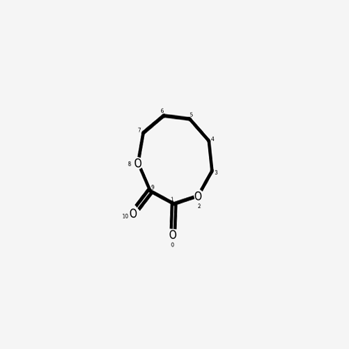 O=C1OCCCCCOC1=O